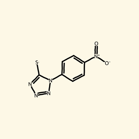 O=[N+]([O-])c1ccc(-n2nnnc2[S])cc1